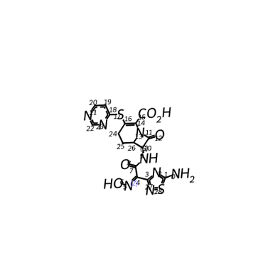 Nc1nc(/C(=N/O)C(=O)N[C@@H]2C(=O)N3C(C(=O)O)=C(Sc4ccncn4)CCC23)ns1